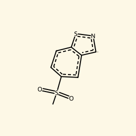 CS(=O)(=O)c1ccc2sn[c]c2c1